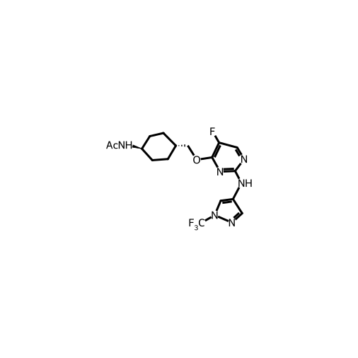 CC(=O)N[C@H]1CC[C@H](COc2nc(Nc3cnn(C(F)(F)F)c3)ncc2F)CC1